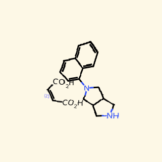 O=C(O)/C=C\C(=O)O.c1ccc2c(N3CC4CNCC4C3)cccc2c1